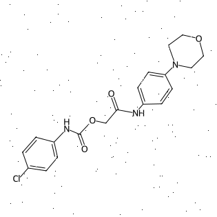 O=C(COC(=O)Nc1ccc(Cl)cc1)Nc1ccc(N2CCOCC2)cc1